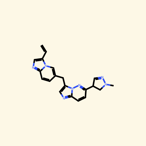 C=Cc1cnc2ccc(Cc3cnc4ccc(C5C=NN(C)C5)nn34)cn12